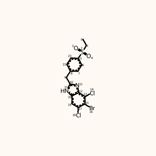 CCS(=O)(=O)c1ccc(Cc2nc3c(Cl)c(Br)c(Cl)cc3[nH]2)cc1